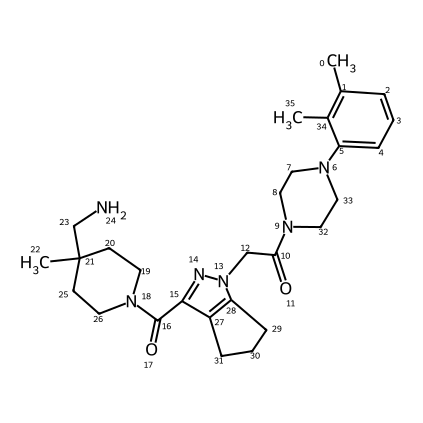 Cc1cccc(N2CCN(C(=O)Cn3nc(C(=O)N4CCC(C)(CN)CC4)c4c3CCC4)CC2)c1C